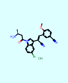 COc1ccc(C#N)cc1C=C(C#N)c1cn(C(=O)C[C@H](C)N)c2ccc(Br)cc12.Cl